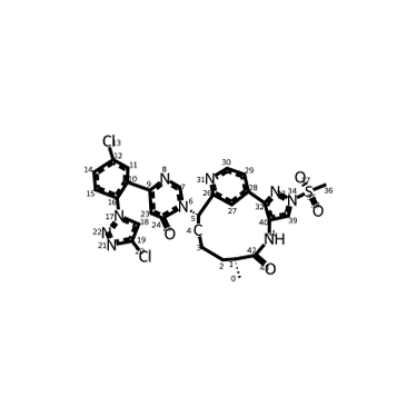 C[C@@H]1CCC[C@H](n2cnc(-c3cc(Cl)ccc3-n3cc(Cl)nn3)cc2=O)c2cc(ccn2)-c2nn(S(C)(=O)=O)cc2NC1=O